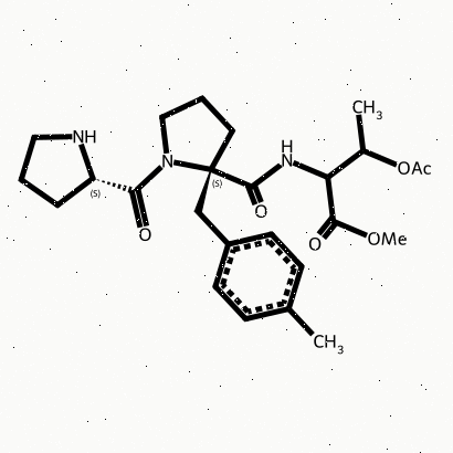 COC(=O)C(NC(=O)[C@@]1(Cc2ccc(C)cc2)CCCN1C(=O)[C@@H]1CCCN1)C(C)OC(C)=O